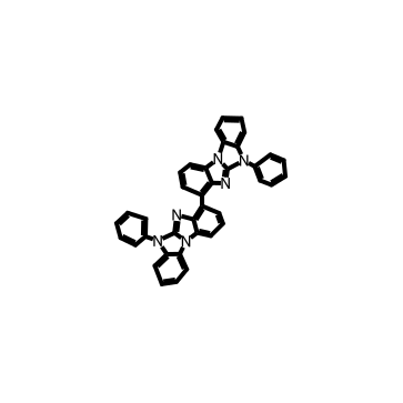 c1ccc(-n2c3ccccc3n3c4cccc(-c5cccc6c5nc5n(-c7ccccc7)c7ccccc7n65)c4nc23)cc1